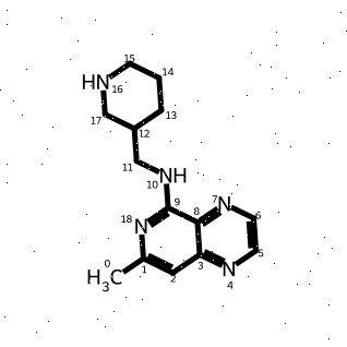 Cc1cc2nccnc2c(NCC2CCCNC2)n1